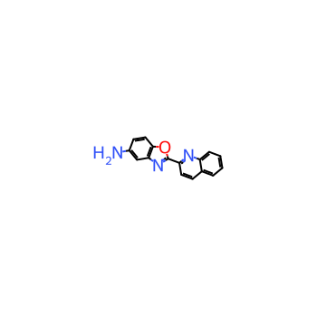 Nc1ccc2oc(-c3ccc4ccccc4n3)nc2c1